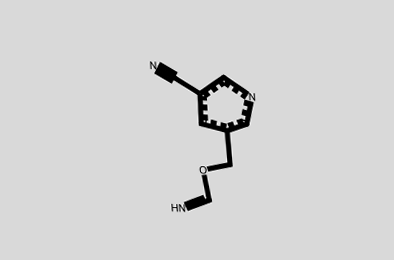 N#Cc1cncc(COC=N)c1